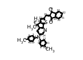 Cc1ccc(N(c2ccc(C)cc2)c2cnc3c(c2)C(C)(C)c2cc(C=C4C(=O)c5ccccc5C4=O)sc2-3)cc1